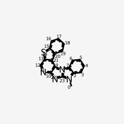 Cn1c2ccccc2n2c3c(ncc4sc5ccccc5c43)nc12